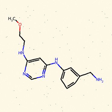 COCCNc1cc(Nc2cccc(CN)c2)ncn1